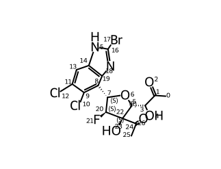 CC(=O)C(O)[C@H]1O[C@@H](c2c(Cl)c(Cl)cc3[nH]c(Br)nc23)[C@H](F)[C@@]1(O)C(C)=O